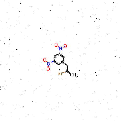 C=C(Br)Cc1cc([N+](=O)[O-])cc([N+](=O)[O-])c1